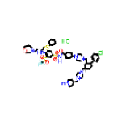 C[C@@]1(CN2CCN(CC3CCNCC3)CC2)CCC(c2ccc(Cl)cc2)=C(CN2CCN(c3ccc(C(=O)NS(=O)(=O)c4ccc(N[C@H](CCN5CCCOCC5)CSc5ccccc5)c(S(=O)(=O)C(F)(F)F)c4)cc3)CC2)C1.Cl